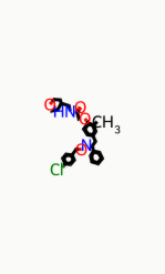 Cc1cc(CC(=NOCc2ccc(Cl)cc2)c2ccccc2)ccc1OCC(=O)NCC1CCOCC1